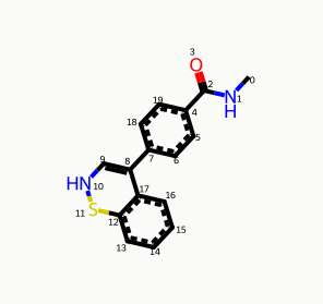 CNC(=O)c1ccc(C2=CNSc3ccccc32)cc1